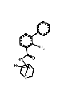 Nc1c(C(=O)N[C@H]2CN3CCC2CC3)cccc1-c1ccccc1